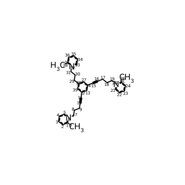 Cc1cccc[n+]1CCCC#Cc1cc(C#CCCC[n+]2ccccc2C)cc(CCC[n+]2ccccc2C)c1